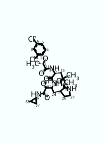 C[C@H](Oc1ccc(Cl)cc1Cl)C(=O)N[C@@H](CC(C)(C)C)C(=O)NC(C[C@@H]1CCNC1=O)C(=O)C(=O)NC1CC1